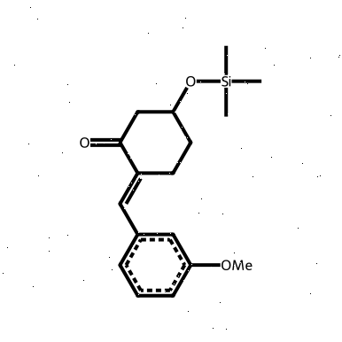 COc1cccc(C=C2CCC(O[Si](C)(C)C)CC2=O)c1